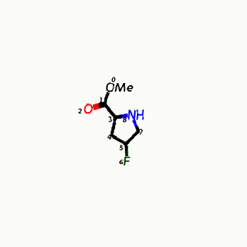 COC(=O)C1CC(F)CN1